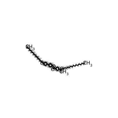 CCCCCCCCCCCCCCCCOC(C)c1ccc(C(=O)Oc2ccc(-c3ccc(OCCCCCCCCCCCCCCC)cc3)cc2)cc1